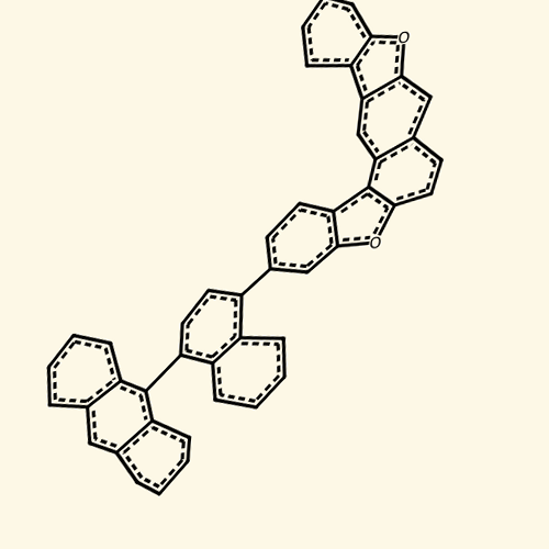 c1ccc2c(-c3ccc(-c4ccc5c(c4)oc4ccc6cc7oc8ccccc8c7cc6c45)c4ccccc34)c3ccccc3cc2c1